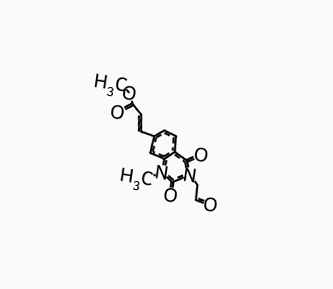 COC(=O)C=Cc1ccc2c(=O)n(CC=O)c(=O)n(C)c2c1